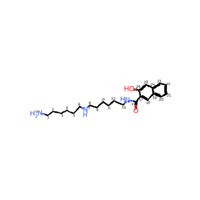 NCCCCCCNCCCCCCNC(=O)c1cc2ccccc2cc1O